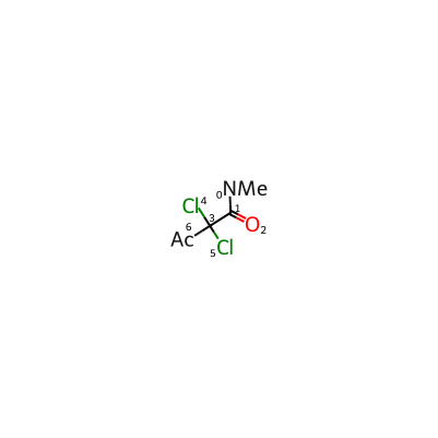 CNC(=O)C(Cl)(Cl)C(C)=O